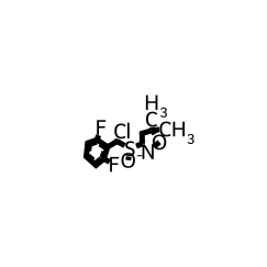 CC1(C)CC([S+]([O-])C(Cl)c2c(F)cccc2F)=NO1